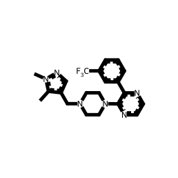 Cc1c(CN2CCN(c3nccnc3-c3cccc(C(F)(F)F)c3)CC2)cnn1C